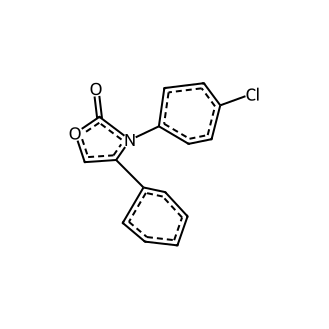 O=c1occ(-c2ccccc2)n1-c1ccc(Cl)cc1